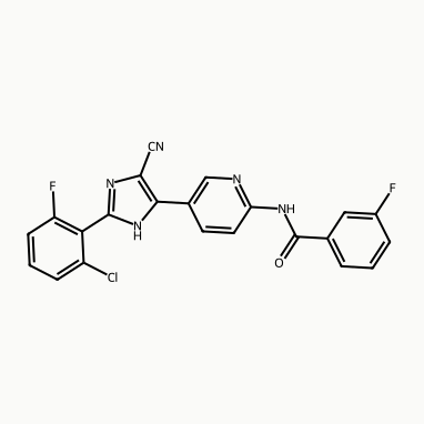 N#Cc1nc(-c2c(F)cccc2Cl)[nH]c1-c1ccc(NC(=O)c2cccc(F)c2)nc1